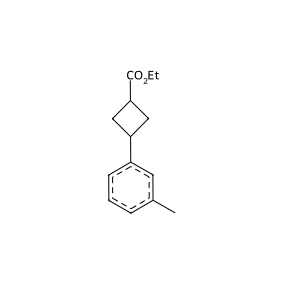 CCOC(=O)C1CC(c2cccc(C)c2)C1